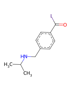 CC(C)NCc1ccc(C(=O)I)cc1